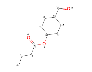 CCCC(=O)OC1CCC([C]=O)CC1